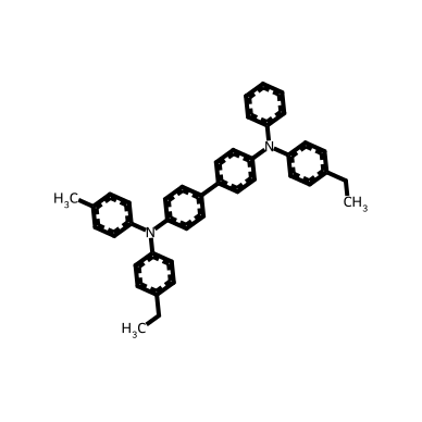 CCc1ccc(N(c2ccccc2)c2ccc(-c3ccc(N(c4ccc(C)cc4)c4ccc(CC)cc4)cc3)cc2)cc1